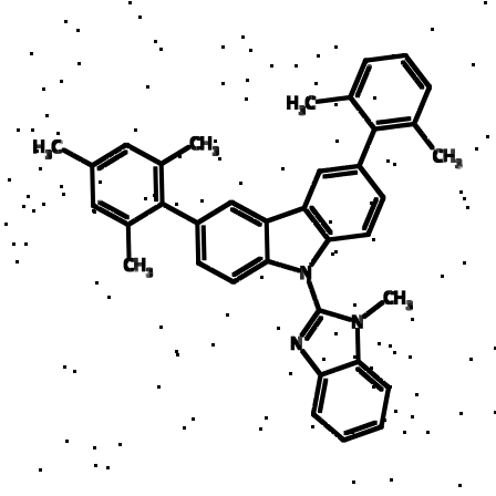 Cc1cc(C)c(-c2ccc3c(c2)c2cc(-c4c(C)cccc4C)ccc2n3-c2nc3ccccc3n2C)c(C)c1